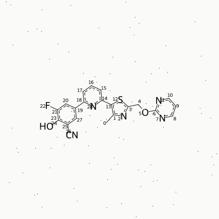 Cc1nc(COc2ncccn2)sc1-c1cccc(-c2cc(F)c(O)c(C#N)c2)n1